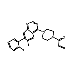 C=CC(=O)N1CCN(c2ncnc3cc(-c4ccccc4F)c(C)cc23)CC1